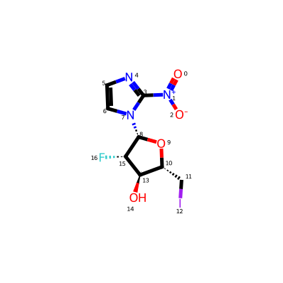 O=[N+]([O-])c1nccn1[C@@H]1O[C@H](CI)[C@@H](O)[C@@H]1F